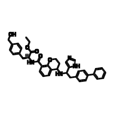 CCOC(=O)[C@H](Cc1ccc(CO)cc1)NC(=O)c1cccc2c1OCCC2NC(Cc1ccc(-c2ccccc2)cc1)c1cnc[nH]1